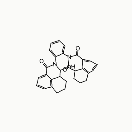 O=C1c2cccc3c2C(CCC3)C(=O)N1c1ccccc1N1C(=O)c2cccc3c2C(CCC3)C1O